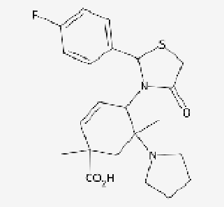 CC1(C(=O)O)C=CC(N2C(=O)CSC2c2ccc(F)cc2)C(C)(N2CCCC2)C1